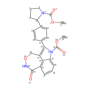 CC(C)(C)OC(=O)N1CCCC1c1ccc(-c2c3c4c(cccc4n2C(=O)OC(C)(C)C)C(=O)NOC3)cc1